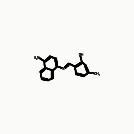 Cc1ccc(/C=N/c2ccc(N)c3ccccc23)c(O)c1